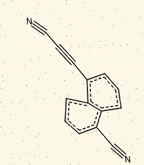 N#CC#Cc1cccc2c(C#N)cccc12